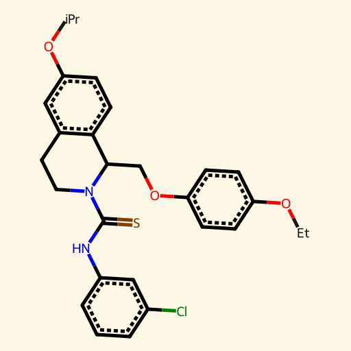 CCOc1ccc(OCC2c3ccc(OC(C)C)cc3CCN2C(=S)Nc2cccc(Cl)c2)cc1